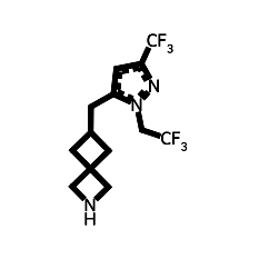 FC(F)(F)Cn1nc(C(F)(F)F)cc1CC1CC2(CNC2)C1